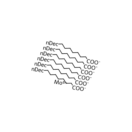 CCCCCCCCCCCCCCCCCC(=O)[O-].CCCCCCCCCCCCCCCCCC(=O)[O-].CCCCCCCCCCCCCCCCCC(=O)[O-].CCCCCCCCCCCCCCCCCC(=O)[O-].CCCCCCCCCCCCCCCCCC(=O)[O-].CCCCCCCCCCCCCCCCCC(=O)[O-].[Mo+6]